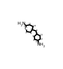 NC1CCCC(CC2CCC(N)CC2)CC1